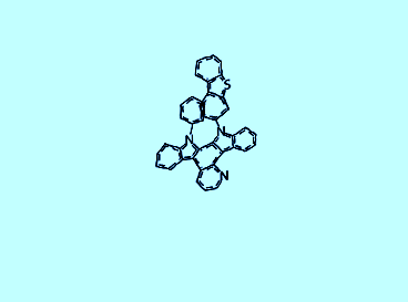 c1ccc(-n2c3ccccc3c3c4cccnc4c4c5ccccc5n(-c5ccc6c(c5)sc5ccccc56)c4c32)cc1